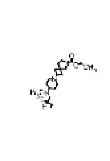 CCOC(=O)N1CCC2(CC(N3CCC(N(C)CC(F)(F)F)CC3)C2)C1